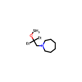 CCC(CC)(CN1CCCCCC1)O[SiH3]